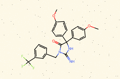 COc1ccc(C2(c3ccc(OC)cc3)NC(=N)N(Cc3cccc(C(F)(F)F)c3)C2=O)cc1